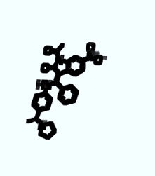 CC(=O)N1C(=O)/C(=C(\Nc2ccc([C@H](C)N3CCCC3)cc2)c2ccccc2)c2ccc([N+](=O)[O-])cc21